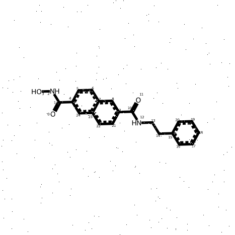 O=C(NO)c1ccc2cc(C(=O)NCCc3ccccc3)ccc2c1